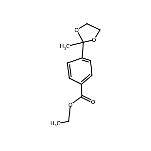 CCOC(=O)c1ccc(C2(C)OCCO2)cc1